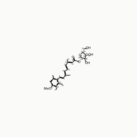 COc1cc(C)c(C=CC(C)=CC=CC(C)=CC(=O)O[C@@H]2O[C@H](CO)[C@@H](O)[C@H]2O)c(C)c1C